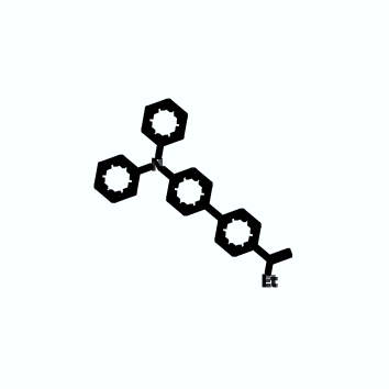 C=C(CC)c1ccc(-c2ccc(N(c3ccccc3)c3ccccc3)cc2)cc1